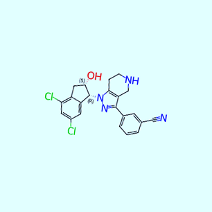 N#Cc1cccc(-c2nn([C@@H]3c4cc(Cl)cc(Cl)c4C[C@@H]3O)c3c2CNCC3)c1